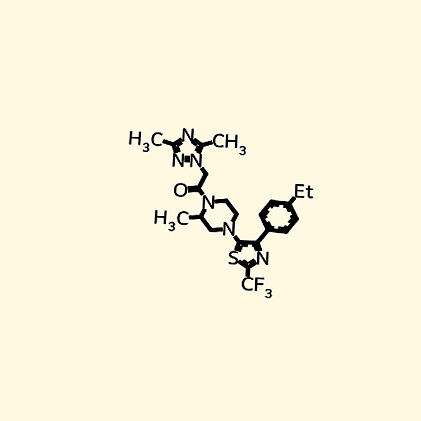 CCc1ccc(-c2nc(C(F)(F)F)sc2N2CCN(C(=O)Cn3nc(C)nc3C)C(C)C2)cc1